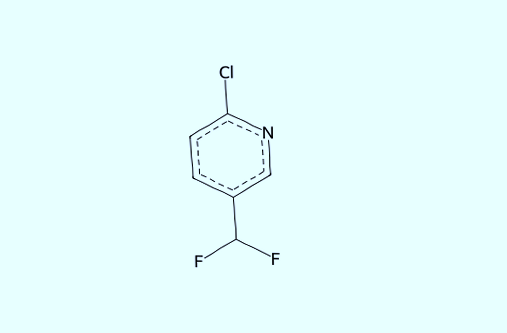 FC(F)c1ccc(Cl)nc1